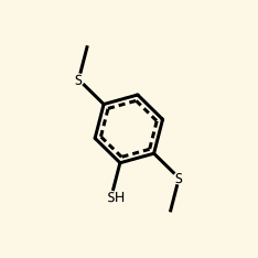 CSc1ccc(SC)c(S)c1